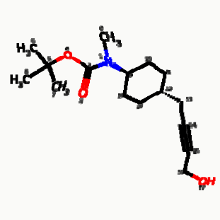 CN(C(=O)OC(C)(C)C)[C@H]1CC[C@H](CC#CCO)CC1